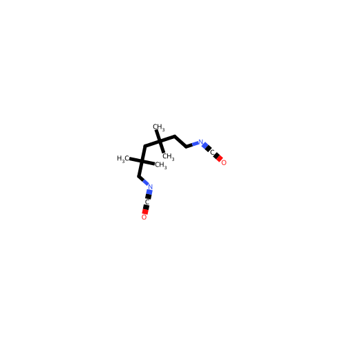 CC(C)(CCN=C=O)CC(C)(C)CN=C=O